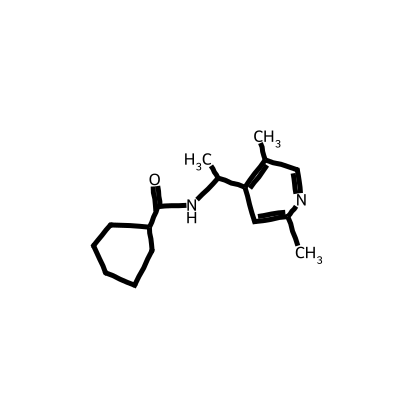 Cc1cc(C(C)NC(=O)C2CCCCC2)c(C)cn1